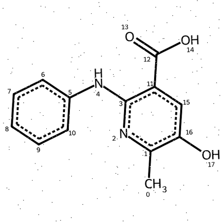 Cc1nc(Nc2ccccc2)c(C(=O)O)cc1O